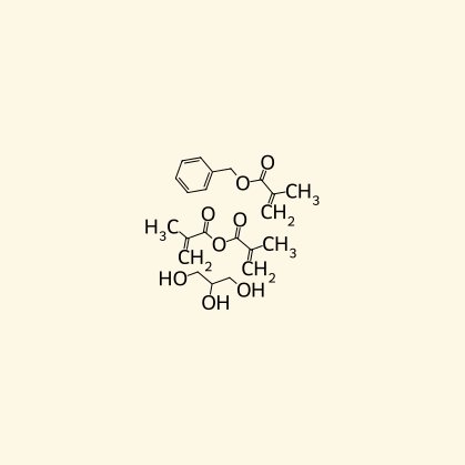 C=C(C)C(=O)OC(=O)C(=C)C.C=C(C)C(=O)OCc1ccccc1.OCC(O)CO